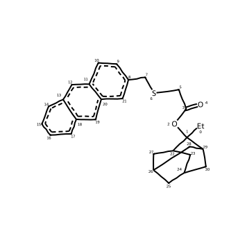 CCC1(OC(=O)CSCc2ccc3cc4ccccc4cc3c2)C2CC3CC(C2)CC1C3